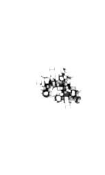 CCC[C@H](NC(=O)[C@@H]1CC(SCC)(SCC)CN1C(=O)[C@@H](NC(=O)[C@@H](NC(=O)c1[nH]c(C)c(C)c1C(C)=O)C1CCCCC1)C(C)(C)C)C(=O)NS(=O)(=O)c1ccccc1